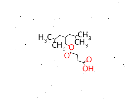 CC(C)CC(COC(=O)CCC(=O)O)CC(C)C